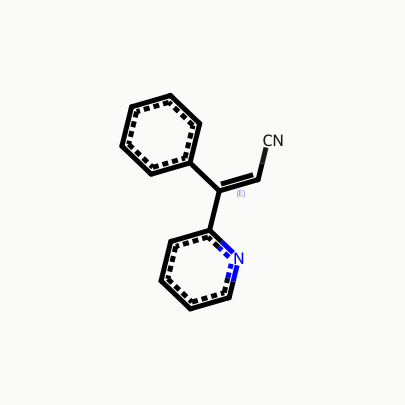 N#C/C=C(\c1ccccc1)c1ccccn1